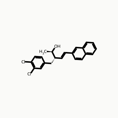 C[C@@H](O)[C@H](/C=C/c1ccc2ccccc2c1)Cc1ccc(Cl)c(Cl)c1